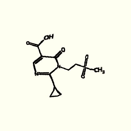 CS(=O)(=O)CCn1c(C2CC2)ncc(C(=O)O)c1=O